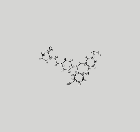 Cc1ccc2c(c1)C[C@@H](N1CCN(CCN3CCOC3=O)CC1)c1cc(F)ccc1S2